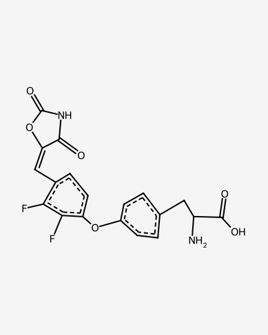 NC(Cc1ccc(Oc2ccc(C=C3OC(=O)NC3=O)c(F)c2F)cc1)C(=O)O